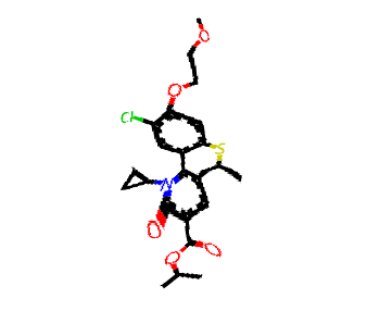 COCCOc1cc2c(cc1Cl)-c1c(cc(C(=O)OC(C)C)c(=O)n1C1CC1)C(C)S2